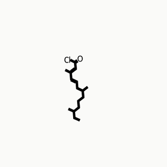 CCC(C)CCCC(C)CC=CC(C)=CC(=O)Cl